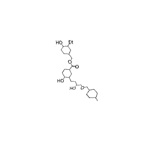 CCC1CC(COC(=O)C2CCC(O)C(CCC(O)COCC3CCC(C)CC3)C2)CCC1O